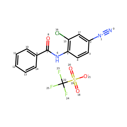 N#[N+]c1ccc(NC(=O)c2ccccc2)c(Cl)c1.O=S(=O)([O-])C(F)(F)F